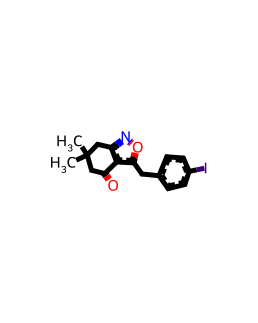 CC1(C)CC(=O)c2c(noc2Cc2ccc(I)cc2)C1